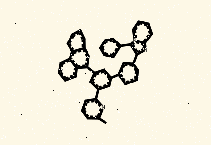 Cc1cccc(-c2cc(-c3cccc(-c4nc5ccccn5c4-c4ccccc4)c3)cc(-c3cc4ccccc4c4ccccc34)c2)n1